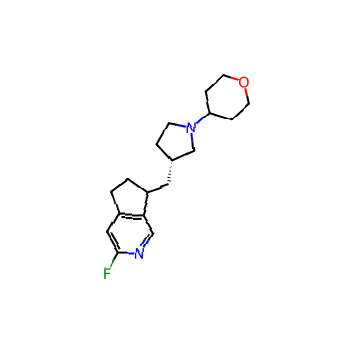 Fc1cc2c(cn1)C(C[C@@H]1CCN(C3CCOCC3)C1)CC2